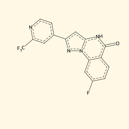 O=c1[nH]c2cc(-c3ccnc(C(F)(F)F)c3)nn2c2cc(F)ccc12